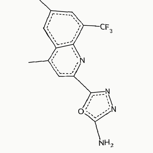 Cc1cc(C(F)(F)F)c2nc(-c3nnc(N)o3)cc(C)c2c1